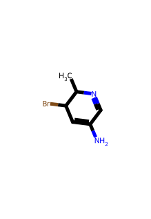 CC1N=CC(N)=CC1Br